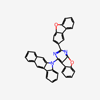 c1ccc2cc3c(cc2c1)c1ccccc1n3-c1nc(-c2ccc3oc4ccccc4c3c2)nc2oc3ccccc3c12